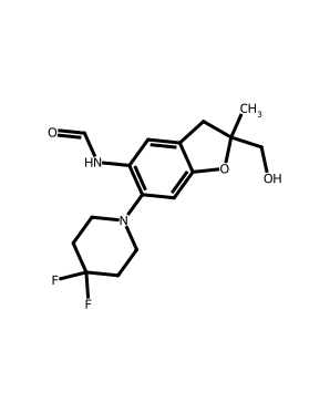 CC1(CO)Cc2cc(NC=O)c(N3CCC(F)(F)CC3)cc2O1